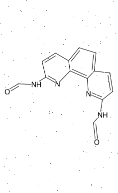 O=CNc1ccc2ccc3ccc(NC=O)nc3c2n1